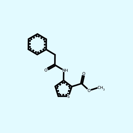 COC(=O)c1sccc1NC(=O)Cc1ccccc1